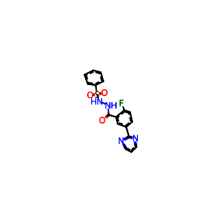 O=C(NNS(=O)(=O)c1ccccc1)c1cc(-c2ncccn2)ccc1F